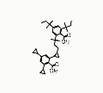 CCC(C)(C)c1cc(C(C)(C)CC)c(C(=O)O)c(C(C)(C)CCC2CC2c2cc(C3CC3)cc(C3CC3)c2C(=O)O)c1